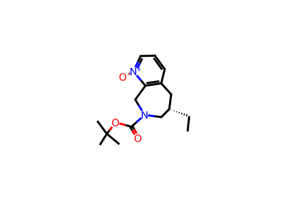 CC[C@H]1Cc2ccc[n+]([O-])c2CN(C(=O)OC(C)(C)C)C1